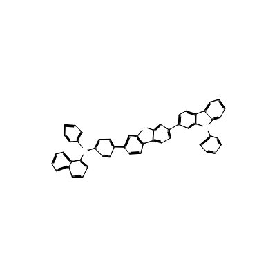 c1ccc(N(c2ccc(-c3ccc4c(c3)sc3cc(-c5ccc6c7ccccc7n(-c7ccccc7)c6c5)ccc34)cc2)c2cccc3ccccc23)cc1